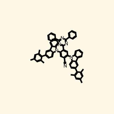 Cc1cc(C)c(-c2ccc3c(c2)c2ccccc2n3-c2cc(-c3nc(-c4ccccc4)nc(-c4ccccc4)n3)c(-n3c4ccccc4c4cc(-c5c(C)cc(C)cc5C)ccc43)cc2C#N)c(C)c1